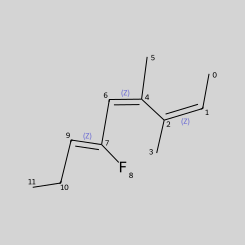 C\C=C(C)/C(C)=C\C(F)=C\CC